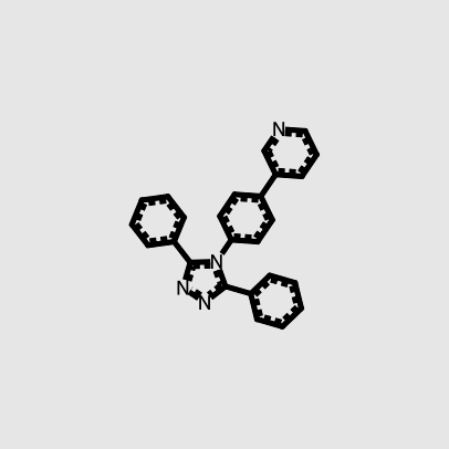 c1ccc(-c2nnc(-c3ccccc3)n2-c2ccc(-c3cccnc3)cc2)cc1